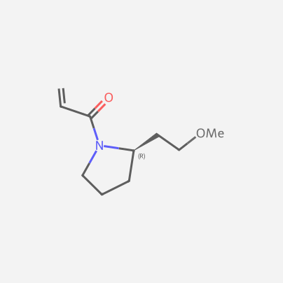 C=CC(=O)N1CCC[C@@H]1CCOC